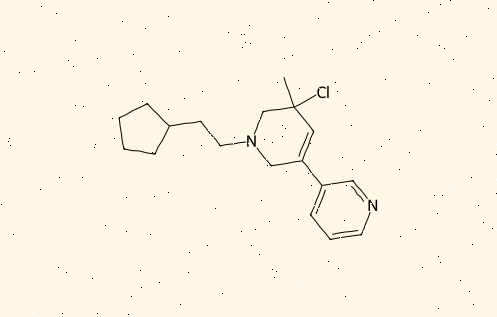 CC1(Cl)C=C(c2cccnc2)CN(CCC2CCCC2)C1